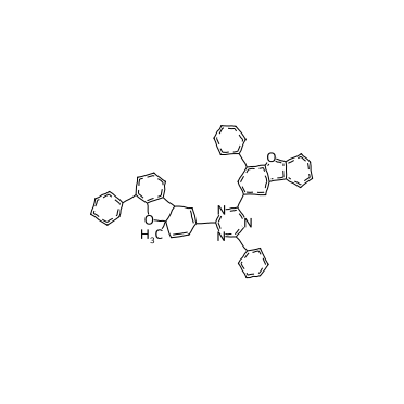 CC12C=CC(c3nc(-c4ccccc4)nc(-c4cc(-c5ccccc5)c5oc6ccccc6c5c4)n3)=CC1c1cccc(-c3ccccc3)c1O2